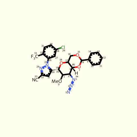 COC1C(N=[N+]=[N-])[C@H]2OC(c3ccccc3)OCC2O[C@H]1c1cc(C#N)nn1-c1cc(Cl)ccc1C(F)(F)F